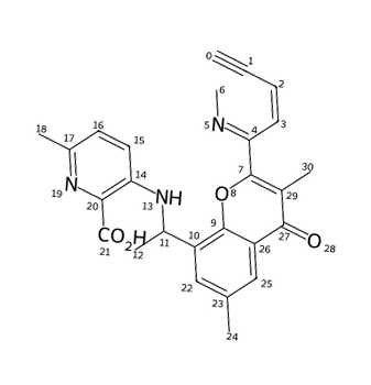 C#C/C=C\C(=N/C)c1oc2c(C(C)Nc3ccc(C)nc3C(=O)O)cc(C)cc2c(=O)c1C